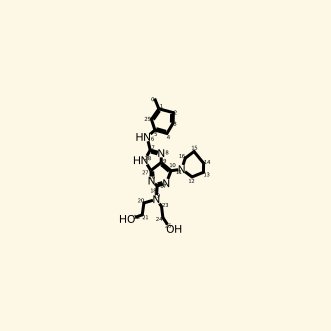 Cc1cccc(Nc2nc3c(N4CCCCC4)nc(N(CCO)CCO)nc3[nH]2)c1